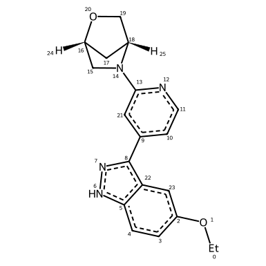 CCOc1ccc2[nH]nc(-c3ccnc(N4C[C@H]5C[C@@H]4CO5)c3)c2c1